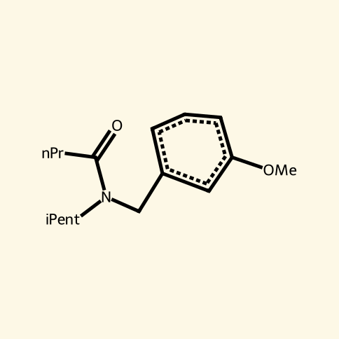 CCCC(=O)N(Cc1cccc(OC)c1)C(C)CCC